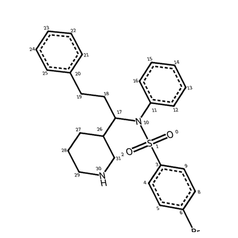 O=S(=O)(c1ccc(Br)cc1)N(c1ccccc1)C(CCc1ccccc1)C1CCCNC1